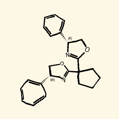 c1ccc([C@@H]2COC(C3(C4=N[C@H](c5ccccc5)CO4)CCCC3)=N2)cc1